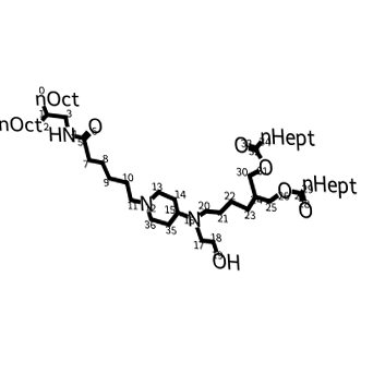 CCCCCCCCC(CCCCCCCC)CNC(=O)CCCCCN1CCC(N(CCO)CCCCC(COC(=O)CCCCCCC)COC(=O)CCCCCCC)CC1